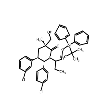 CCC(CO[Si](c1ccccc1)(c1ccccc1)C(C)(C)C)N1C(=O)[C@@](C)(CO)C[C@H](c2cccc(Cl)c2)[C@H]1c1ccc(Cl)cc1